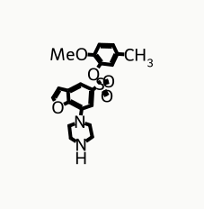 COc1ccc(C)cc1OS(=O)(=O)c1cc(N2CCNCC2)c2occc2c1